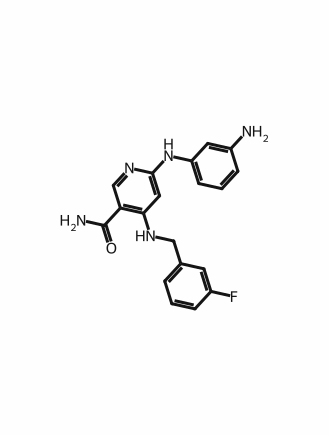 NC(=O)c1cnc(Nc2cccc(N)c2)cc1NCc1cccc(F)c1